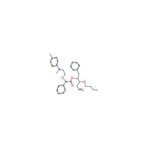 CCCCOC(CN)C(Cc1ccccc1)OC(=O)N(OCCN(C)c1ccc(C)cc1)c1ccccc1